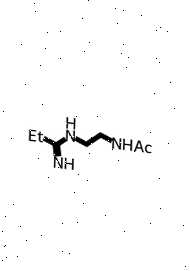 CCC(=N)NCCNC(C)=O